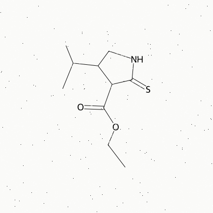 CCOC(=O)C1C(=S)NCC1C(C)C